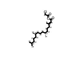 C/C(=C\C(=O)OC(=O)CCl)CCC[C@H](C)CCC[C@H](C)CCCC(C)C